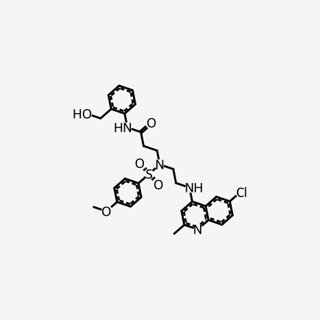 COc1ccc(S(=O)(=O)N(CCNc2cc(C)nc3ccc(Cl)cc23)CCC(=O)Nc2ccccc2CO)cc1